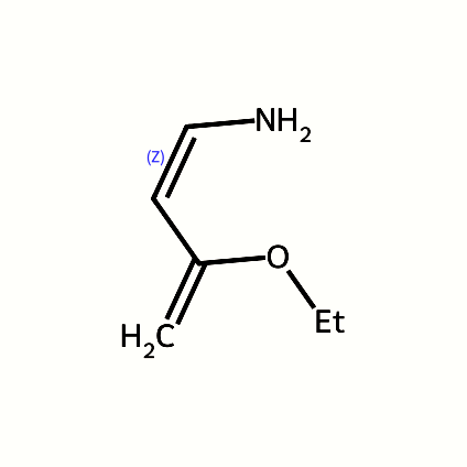 C=C(/C=C\N)OCC